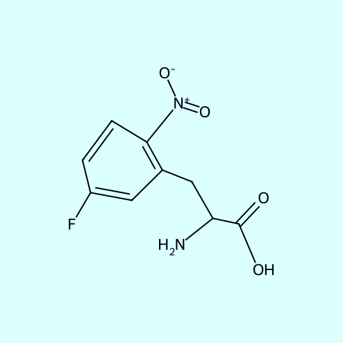 NC(Cc1cc(F)ccc1[N+](=O)[O-])C(=O)O